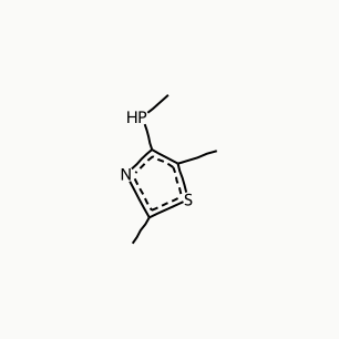 CPc1nc(C)sc1C